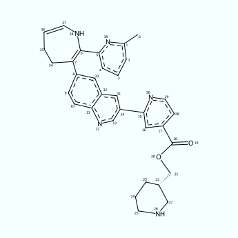 Cc1cccc(C2=C(c3ccc4ncc(-c5cc(C(=O)OC[C@H]6CCCNC6)ccn5)cc4c3)CCC=CN2)n1